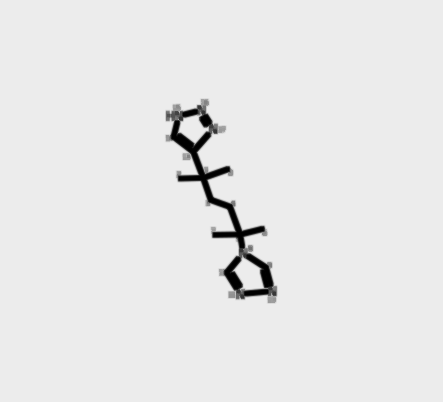 CC(C)(CCC(C)(C)n1cnnc1)c1c[nH]nn1